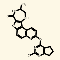 CC1CNc2c(oc3ccc4nc(Oc5nc(Cl)nc6c5CCC6)ccc4c23)C(=O)N1